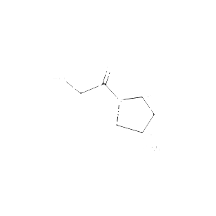 CO[C@H]1C[C@@H](C)N(C(=O)CO)C1